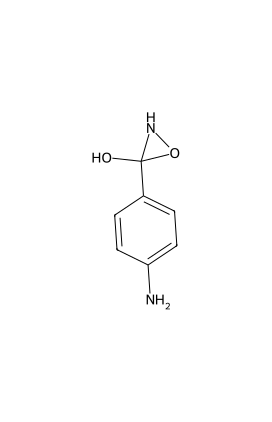 Nc1ccc(C2(O)NO2)cc1